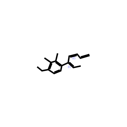 C=C/C=C\C(=C/C)c1ccc(CC)c(C)c1C